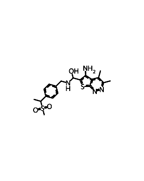 Cc1nnc2sc(C(O)NCc3ccc(C(C)S(C)(=O)=O)cc3)c(N)c2c1C